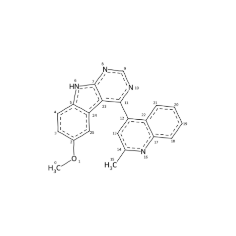 COc1ccc2[nH]c3ncnc(-c4cc(C)nc5ccccc45)c3c2c1